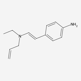 C=CCN(C=Cc1ccc(N)cc1)CC